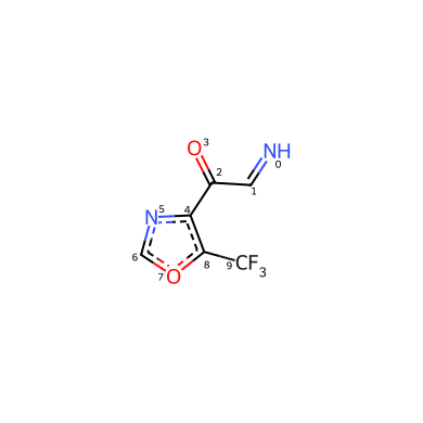 N=CC(=O)c1ncoc1C(F)(F)F